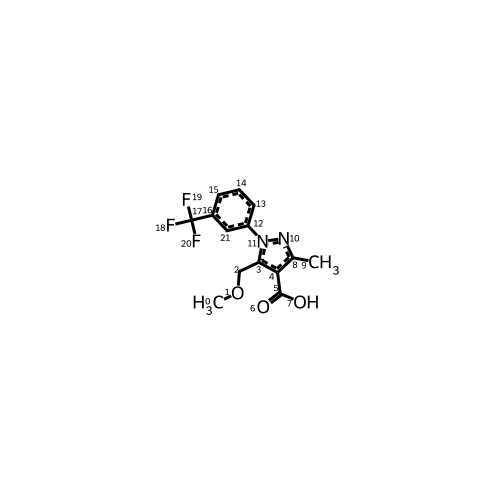 COCc1c(C(=O)O)c(C)nn1-c1cccc(C(F)(F)F)c1